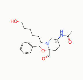 CC(=O)N[C@H]1CCC(C=O)(OCc2ccccc2)N(CCCCCCO)C1